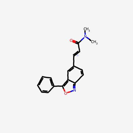 CN(C)C(=O)/C=C/c1ccc2noc(-c3ccccc3)c2c1